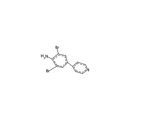 Nc1c(Br)cc(-c2ccncc2)cc1Br